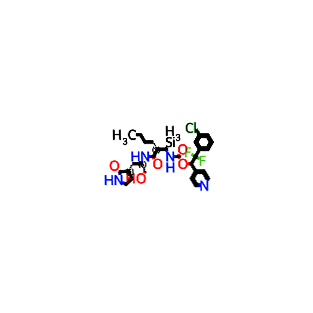 CCCC[C@@H](C(=O)N[C@H](CO)C[C@@H]1CCNC1=O)C([SiH3])NC(=O)OC(c1ccncc1)C(F)(F)c1cccc(Cl)c1